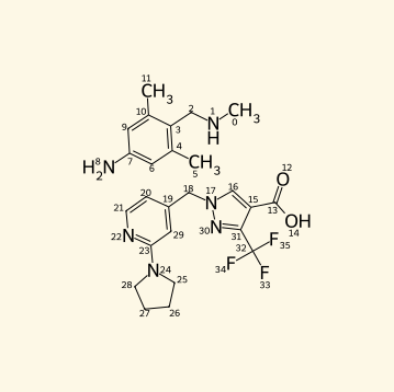 CNCc1c(C)cc(N)cc1C.O=C(O)c1cn(Cc2ccnc(N3CCCC3)c2)nc1C(F)(F)F